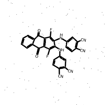 N#Cc1ccc(Nc2c(F)c3c(c(F)c2Nc2ccc(C#N)c(C#N)c2)C(=O)c2ccccc2C3=O)cc1C#N